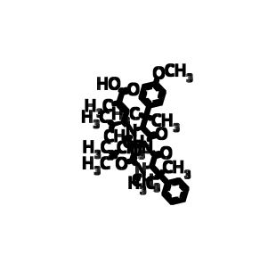 COc1ccc(C(C)(C)[C@@H](C(=O)NC(=O)[C@@H](N(C)C(=O)OC(C)(C)C)C(C)(C)c2ccccc2)N(C)[C@H](/C=C(\C)C(=O)O)C(C)C)cc1